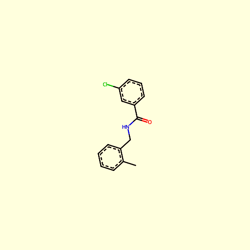 Cc1ccccc1CNC(=O)c1cccc(Cl)c1